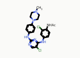 CC(=O)Nc1ccc(Nc2nc(Nc3ccc(N4CCN(C)CC4)cc3)ncc2Cl)cc1Cl